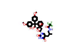 COc1ccc(C(c2ccccc2)(c2ccc(OC)cc2)C(O)[C@H]2O[C@@H](n3cc(CC(C)CNC(=O)C(F)(F)F)c(=O)[nH]c3=O)C[C@@H]2O)cc1